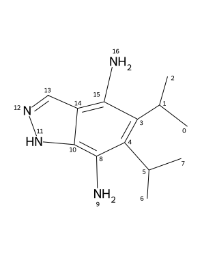 CC(C)c1c(C(C)C)c(N)c2[nH]ncc2c1N